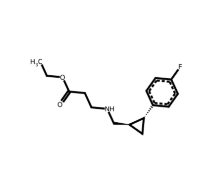 CCOC(=O)CCNC[C@@H]1C[C@H]1c1ccc(F)cc1